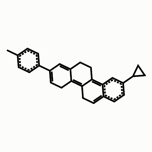 Cc1ccc(C2=CCC3=C4CC=c5ccc(C6CC6)cc5=C4CCC3=C2)cc1